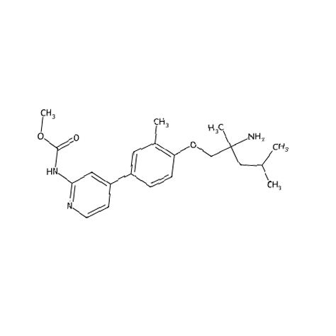 COC(=O)Nc1cc(-c2ccc(OCC(C)(N)CC(C)C)c(C)c2)ccn1